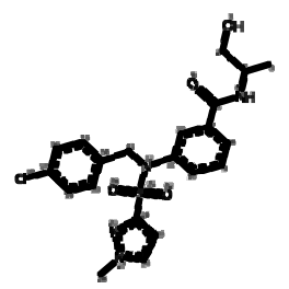 CC(CO)NC(=O)c1cccc(N(Cc2ccc(Cl)cc2)S(=O)(=O)c2ccn(C)n2)c1